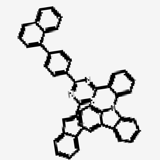 c1ccc(-n2c3ccccc3c3ccccc32)c(-c2nc(-c3ccc(-c4cccc5ccccc45)cc3)nc(-c3cc4ccccc4s3)n2)c1